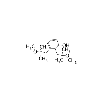 COC(C)(C)Cc1cccc(O)c1CC(C)(C)OC